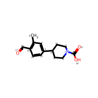 Cc1cc(C2CCN(C(=O)O)CC2)ccc1C=O